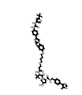 Cc1ncsc1-c1ccc(CNC(=O)[C@@H]2C[C@@H](O)CN2C(=O)[C@@H](NC(=O)CCOCCCCOc2ccc3c(c2)sc2nc(-c4ccc(NC(=O)Nc5cc(C(C)(C)C)on5)cc4)cn23)C(C)(C)C)cc1